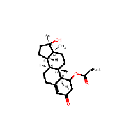 CCCCCC(=O)OC1CC(=O)C=C2CC[C@H]3[C@@H]4CC[C@](O)(C(C)=O)[C@@]4(C)CC[C@@H]3[C@]21C